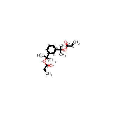 C=CC(=O)OC(C)(C)c1cccc(C(C)(C)OC(=O)C=C)c1